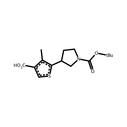 Cc1c(C(=O)O)csc1C1CCN(C(=O)OC(C)(C)C)C1